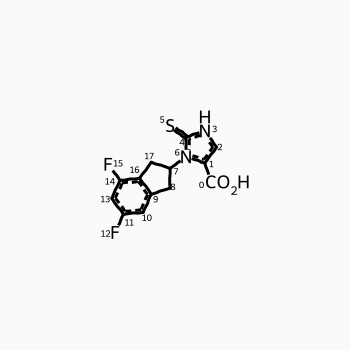 O=C(O)c1c[nH]c(=S)n1C1Cc2cc(F)cc(F)c2C1